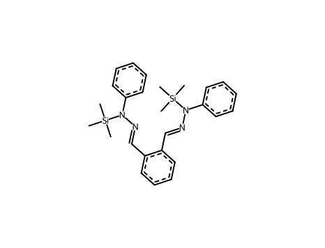 C[Si](C)(C)N(N=Cc1ccccc1C=NN(c1ccccc1)[Si](C)(C)C)c1ccccc1